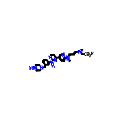 CN(CCCN(C)c1ccc(-c2ccnc(Nc3cccc(CN4CCNCC4)c3)n2)cn1)CC(=O)O